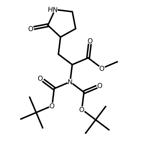 COC(=O)C(CC1CCNC1=O)N(C(=O)OC(C)(C)C)C(=O)OC(C)(C)C